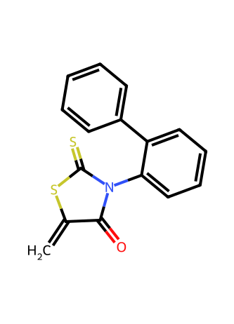 C=C1SC(=S)N(c2ccccc2-c2ccccc2)C1=O